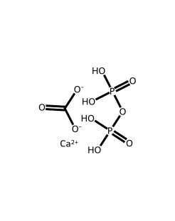 O=C([O-])[O-].O=P(O)(O)OP(=O)(O)O.[Ca+2]